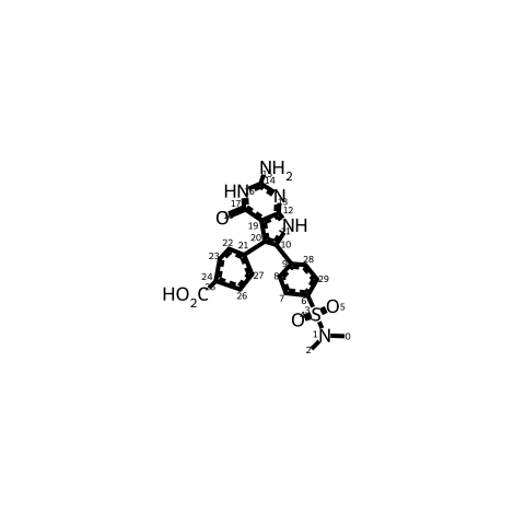 CN(C)S(=O)(=O)c1ccc(-c2[nH]c3nc(N)[nH]c(=O)c3c2-c2ccc(C(=O)O)cc2)cc1